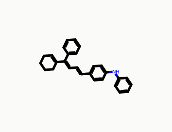 C(=Cc1ccc(Nc2ccccc2)cc1)C=C(C1=CCCCC1)c1ccccc1